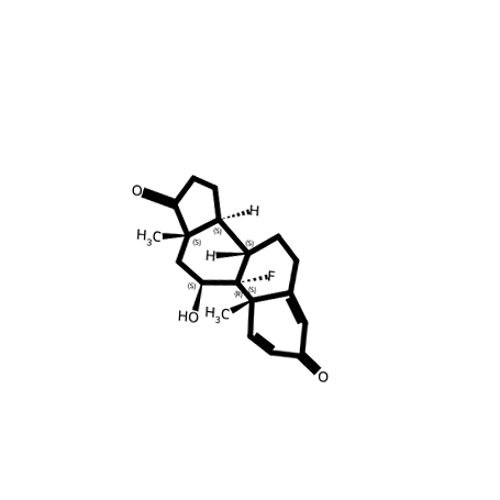 C[C@]12C=CC(=O)C=C1CC[C@H]1[C@@H]3CCC(=O)[C@@]3(C)C[C@H](O)[C@@]12F